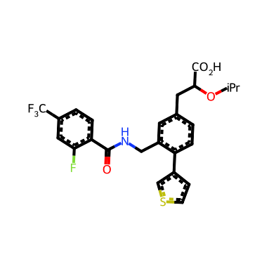 CC(C)OC(Cc1ccc(-c2ccsc2)c(CNC(=O)c2ccc(C(F)(F)F)cc2F)c1)C(=O)O